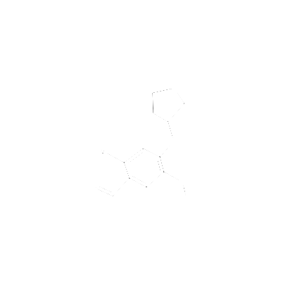 COc1cc(C=O)c(Br)cc1OC1CCOC1